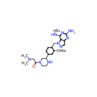 CCCCNc1nc(N)nc2cnn(Cc3ccc(C4CN(C(=O)CN(C)C)CCN4)cc3OC)c12